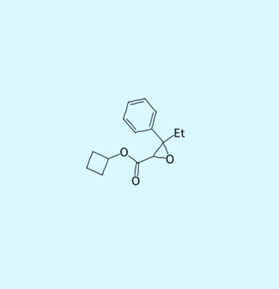 CCC1(c2ccccc2)OC1C(=O)OC1CCC1